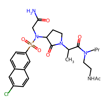 CC(=O)NCCN(C(=O)C(C)N1CCC(N(CC(N)=O)S(=O)(=O)c2ccc3cc(Cl)ccc3c2)C1=O)C(C)C